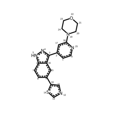 c1cc(-c2n[nH]c3ccc(-c4cncs4)cc23)cc(N2CCOCC2)n1